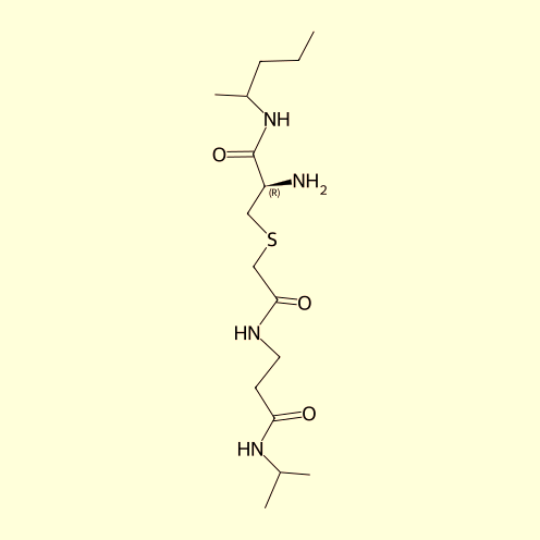 CCCC(C)NC(=O)[C@@H](N)CSCC(=O)NCCC(=O)NC(C)C